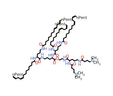 CCCCCC=CCC=CCCCCCCCC(=O)NCCCC(NC(=O)CCCCCCC/C=C\C/C=C\CCCCC)C(=O)NCCCC(NC(=O)C(CCCNC(=O)CCCCCCC/C=C\C/C=C\CCCCC)NC(=O)CCCCCCC/C=C\C/C=C\CCCCC)C(=O)OCCNC(=O)C(CCCNC(=O)CCCN(C)C)NC(=O)CCCN(C)C